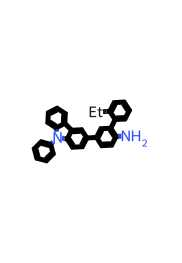 CCc1ccccc1-c1cc(-c2ccc3c(c2)c2ccccc2n3-c2ccccc2)ccc1N